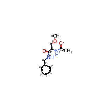 COC=C(NC(C)=O)C(=O)NCc1ccccc1